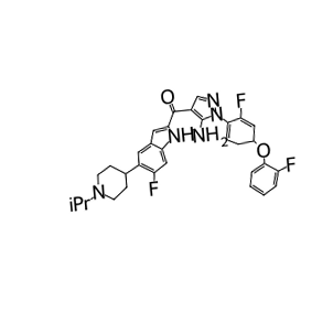 CC(C)N1CCC(c2cc3cc(C(=O)c4cnn(C5=CCC(Oc6ccccc6F)C=C5F)c4N)[nH]c3cc2F)CC1